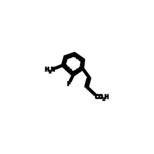 Nc1cccc(C=CC(=O)O)c1F